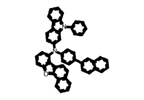 c1ccc(-n2c3ccccc3c3ccc(N(c4ccc(-c5ccc6ccccc6c5)cc4)c4cccc5oc6c7ccccc7ccc6c45)cc32)cc1